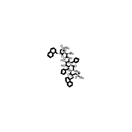 CC[C@H](C)[C@H](NC(=O)[C@H](Cc1cccc2ccccc12)CS(=O)(=O)C(C)(C)C)C(=O)N[C@@H](Cc1ccccc1)[C@@H](O)[C@H](O)[C@H](Cc1ccccc1)NC(=O)[C@@H](NC(=O)[C@H](Cc1cccc2ccccc12)CS(=O)(=O)C(C)(C)C)[C@@H](C)CC